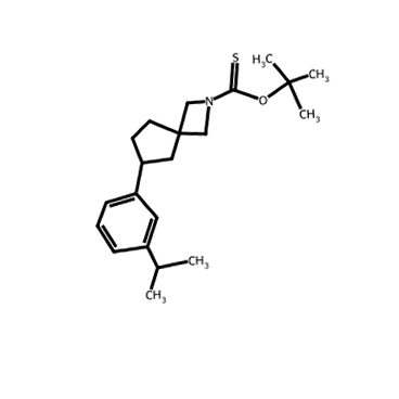 CC(C)c1cccc(C2CCC3(C2)CN(C(=S)OC(C)(C)C)C3)c1